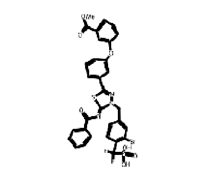 COC(=O)c1cccc(Oc2cccc(-c3nn(Cc4ccc(C(F)(F)P(=O)(O)O)c(Br)c4)c(=NC(=O)c4ccccc4)s3)c2)c1